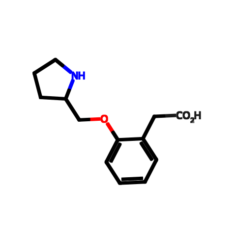 O=C(O)Cc1ccccc1OCC1CCCN1